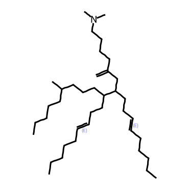 C=C(CCCCN(C)C)CC(CC/C=C/CCCCC)C(CC/C=C/CCCCC)CCCC(C)CCCCC